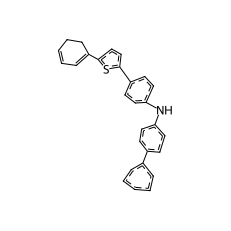 C1=CCCC(c2ccc(-c3ccc(Nc4ccc(-c5ccccc5)cc4)cc3)s2)=C1